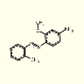 COc1cc(N)ccc1/N=N/c1ccccc1C